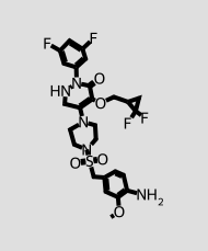 COc1cc(CS(=O)(=O)N2CCN(C3=C(OCC4CC4(F)F)C(=O)N(c4cc(F)cc(F)c4)NC3)CC2)ccc1N